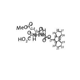 COC(=O)CCC(NC(=O)C(=O)O)C(=O)NNC(=O)OCC1c2ccccc2-c2ccccc21